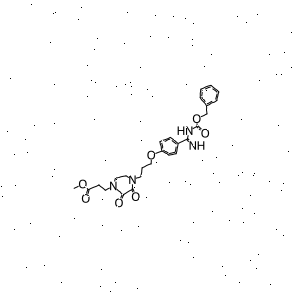 COC(=O)CCN1CCN(CCCOc2ccc(C(=N)NC(=O)OCc3ccccc3)cc2)C(=O)C1=O